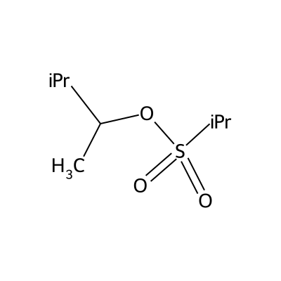 CC(C)C(C)OS(=O)(=O)C(C)C